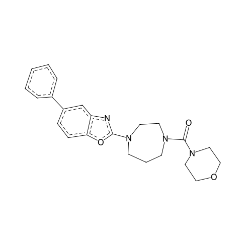 O=C(N1CCOCC1)N1CCCN(c2nc3cc(-c4ccccc4)ccc3o2)CC1